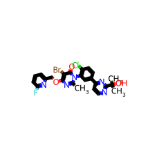 Cc1nc(OCc2cccc(F)n2)c(Br)c(=O)n1-c1cc(-c2ccnc(C(C)(C)O)n2)ccc1Cl